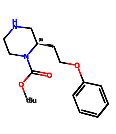 CC(C)(C)OC(=O)N1CCNC[C@@H]1CCOc1ccccc1